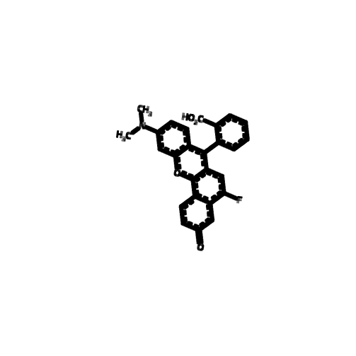 CN(C)c1ccc2c(-c3ccccc3C(=O)O)c3cc(F)c4cc(=O)ccc4c3oc2c1